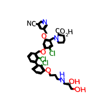 N#Cc1cncc(COc2cc(OCc3cccc(-c4cccc(OCCCNC[C@H](O)CO)c4Cl)c3Cl)c(Cl)cc2CN2CCCC[C@H]2C(=O)O)c1